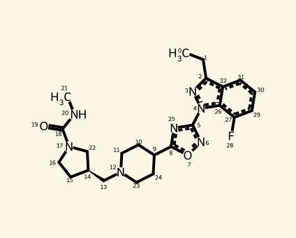 CCc1nn(-c2noc(C3CCN(C[C@H]4CCN(C(=O)NC)C4)CC3)n2)c2c(F)cccc12